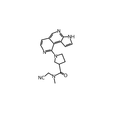 CN(CC#N)C(=O)C1CCN(c2nccc3cnc4[nH]ccc4c23)C1